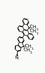 CC1(C)c2cc(C#N)ccc2-c2ccc(-c3c4ccccc4c4c5c(cccc35)-c3ccccc3C4(C)C)cc21